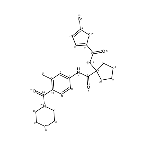 Cc1cc(NC(=O)C2(NC(=O)c3ccc(Br)s3)CCCC2)ccc1C(=O)N1CCOCC1